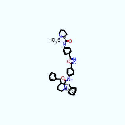 O=C(Nc1ccc(-c2nnc(-c3ccc(NC(=O)[C@]4(Cc5ccccc5)C(Cc5ccccc5)CCCN4C(=O)O)cc3)o2)cc1)[C@@H]1CCCCN1C(=O)O